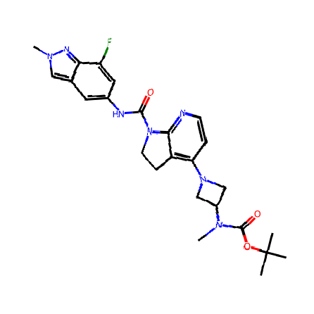 CN(C(=O)OC(C)(C)C)C1CN(c2ccnc3c2CCN3C(=O)Nc2cc(F)c3nn(C)cc3c2)C1